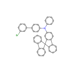 Brc1cccc(-c2ccc(N(c3ccccc3)c3ccc4c(c3)C3(c5ccccc5-c5ccccc53)c3ccccc3-4)cc2)c1